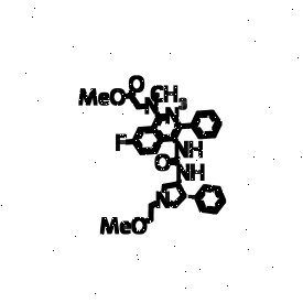 COCCN1C[C@@H](NC(=O)Nc2c(-c3ccccc3)nc(N(C)CC(=O)OC)c3cc(F)ccc23)[C@H](c2ccccc2)C1